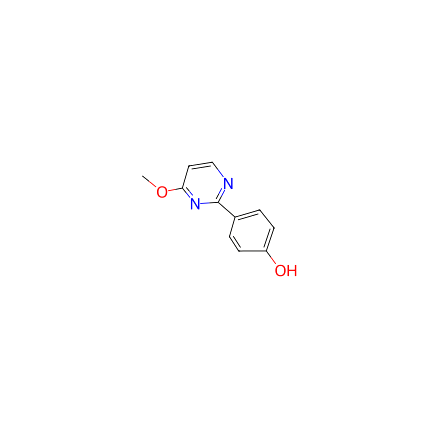 COc1ccnc(-c2ccc(O)cc2)n1